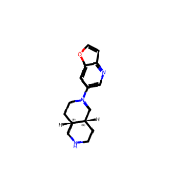 c1cc2ncc(N3CC[C@H]4CNCC[C@H]4C3)cc2o1